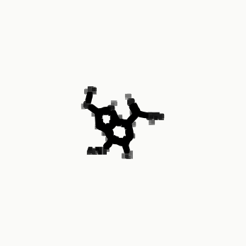 CCOc1cc2c(NC(C)=O)c(Cl)cc(C(=O)OC)c2o1